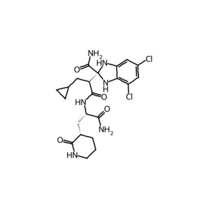 NC(=O)[C@H](C[C@@H]1CCCNC1=O)NC(=O)C(CC1CC1)[C@]1(C(N)=O)Nc2cc(Cl)cc(Cl)c2N1